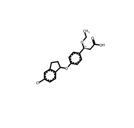 CCO[C@@H](CC(=O)O)c1ccc(OC2CCc3cc(Cl)ccc32)cc1